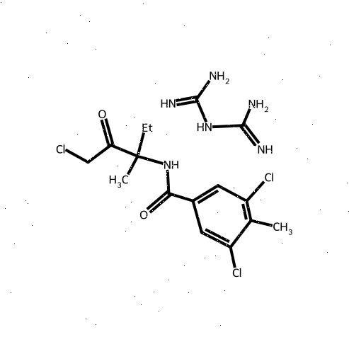 CCC(C)(NC(=O)c1cc(Cl)c(C)c(Cl)c1)C(=O)CCl.N=C(N)NC(=N)N